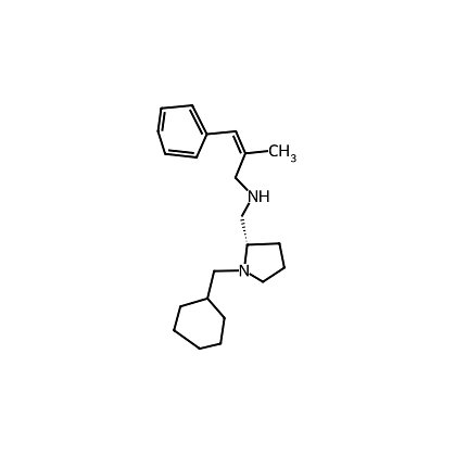 CC(=Cc1ccccc1)CNC[C@@H]1CCCN1CC1CCCCC1